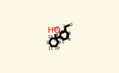 CCc1cccc(C2(C)CCCCC2)c1O